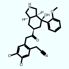 COc1ccccc1[C@]1(O)C[C@@H](C(=O)Cc2cc(Cl)c(Cl)cc2CC#N)C[C@H]2CNC[C@H]21